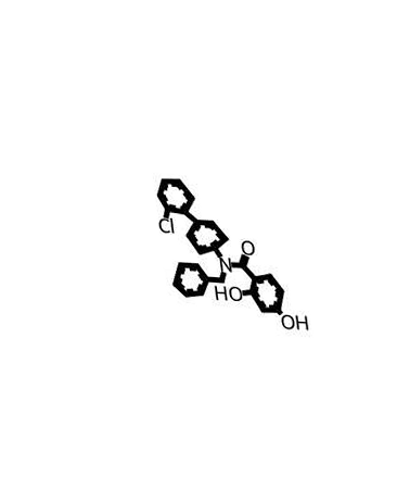 O=C(c1ccc(O)cc1O)N(Cc1ccccc1)c1ccc(-c2ccccc2Cl)cc1